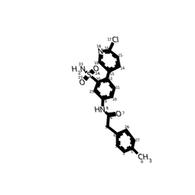 Cc1ccc(CC(=O)Nc2ccc(-c3ccc(Cl)nc3)c(S(N)(=O)=O)c2)cc1